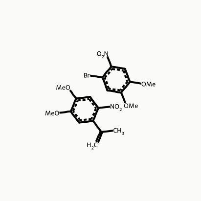 C=C(C)c1cc(OC)c(OC)cc1[N+](=O)[O-].COc1cc(Br)c([N+](=O)[O-])cc1OC